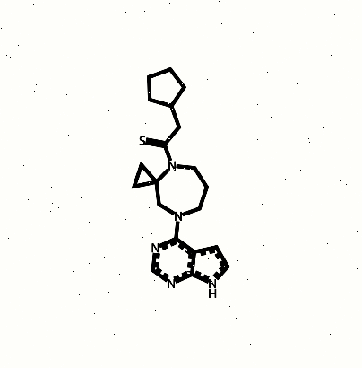 S=C(CC1CCCC1)N1CCCN(c2ncnc3[nH]ccc23)CC12CC2